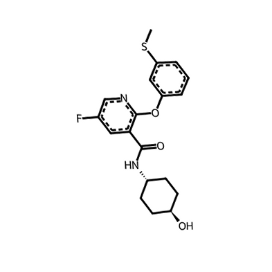 CSc1cccc(Oc2ncc(F)cc2C(=O)N[C@H]2CC[C@H](O)CC2)c1